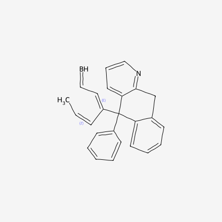 B=C/C=C(\C=C/C)C1(c2ccccc2)c2ccccc2Cc2ncccc21